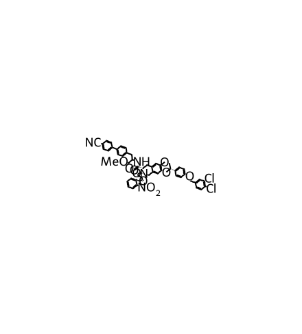 COC(=O)C(Cc1ccc(-c2ccc(C#N)cc2)cc1)NC(=O)[C@@H]1Cc2cc3c(cc2CN1S(=O)(=O)c1ccccc1[N+](=O)[O-])O[C@@H](c1ccc(OCc2ccc(Cl)c(Cl)c2)cc1)CO3